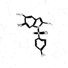 Cc1ccc(S(=O)(=O)n2c(C)cc3cc(C(=O)O)c(O)cc32)cc1